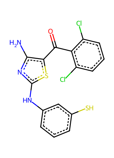 Nc1nc(Nc2cccc(S)c2)sc1C(=O)c1c(Cl)cccc1Cl